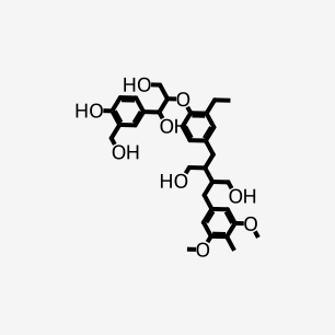 CCc1cc(CC(CO)C(CO)Cc2cc(OC)c(C)c(OC)c2)ccc1OC(CO)C(O)c1ccc(O)c(CO)c1